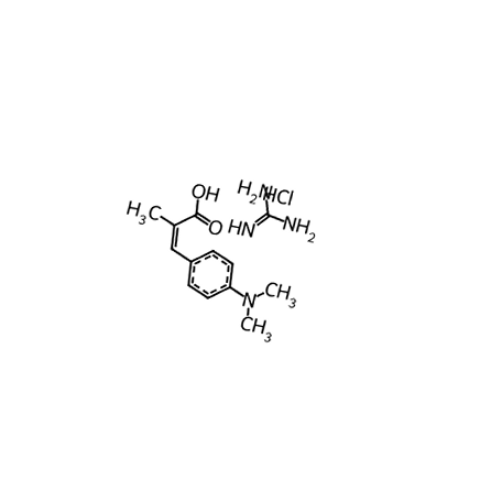 CC(=Cc1ccc(N(C)C)cc1)C(=O)O.Cl.N=C(N)N